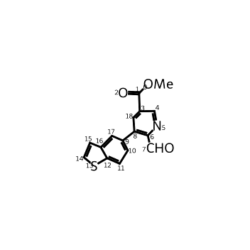 COC(=O)c1cnc(C=O)c(-c2ccc3sccc3c2)c1